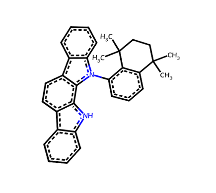 CC1(C)CCC(C)(C)c2c(-n3c4ccccc4c4ccc5c6ccccc6[nH]c5c43)cccc21